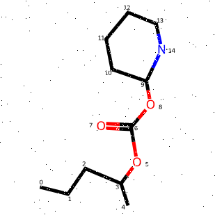 CCCC(C)OC(=O)OC1CCCC[N]1